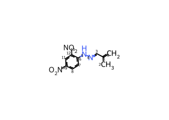 C=C(C)C=NNc1ccc([N+](=O)[O-])cc1[N+](=O)[O-]